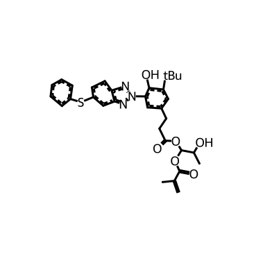 C=C(C)C(=O)OC(OC(=O)CCc1cc(-n2nc3ccc(Sc4ccccc4)cc3n2)c(O)c(C(C)(C)C)c1)C(C)O